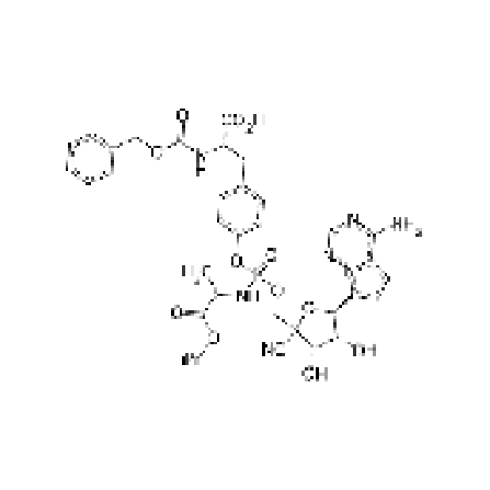 CC(C)OC(=O)C(C)NP(=O)(OC[C@@]1(C#N)O[C@@H](c2ccc3c(N)ncnn23)[C@H](O)[C@@H]1O)Oc1ccc(C[C@H](NC(=O)OCc2ccccc2)C(=O)O)cc1